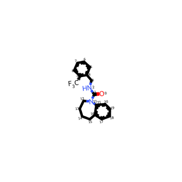 O=C(NCc1ccccc1C(F)(F)F)N1CCCCc2ccccc21